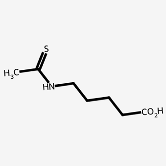 CC(=S)NCCCCC(=O)O